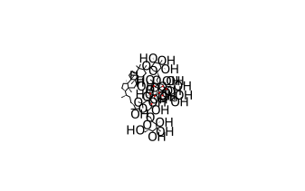 C[C@H](CC[C@@H](O[C@@H]1O[C@H](CO[C@@H]2O[C@H](CO)[C@@H](O)[C@H](O)[C@H]2O)[C@@H](O)[C@H](O)[C@H]1O[C@@H]1O[C@H](CO)[C@@H](O[C@@H]2O[C@H](CO)[C@@H](O)[C@H](O)[C@H]2O)[C@H](O)[C@H]1O)C(C)(C)O)[C@H]1CC[C@@]2(C)[C@@H]3CC=C4[C@@H](CC[C@H](O[C@@H]5O[C@H](CO[C@@H]6O[C@H](CO)[C@@H](O)[C@H](O)[C@H]6O)[C@@H](O)[C@H](O)[C@H]5O)C4(C)C)[C@]3(C)[C@H](O)C[C@]12C